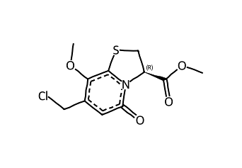 COC(=O)[C@@H]1CSc2c(OC)c(CCl)cc(=O)n21